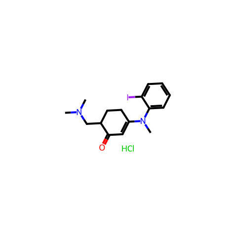 CN(C)CC1CCC(N(C)c2ccccc2I)=CC1=O.Cl